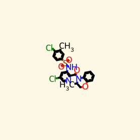 Cc1cc(S(=O)(=O)Nc2cc(Cl)cnc2C(=O)N2c3ccccc3OCC2C)ccc1Cl